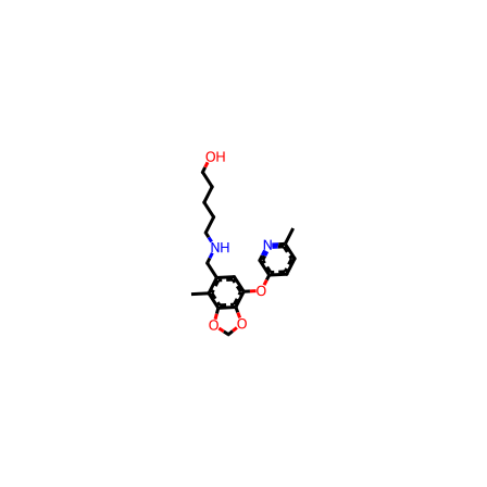 Cc1ccc(Oc2cc(CNCCCCCO)c(C)c3c2OCO3)cn1